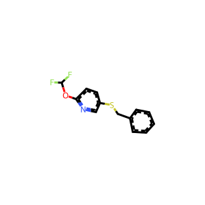 FC(F)Oc1ccc(SCc2ccccc2)cn1